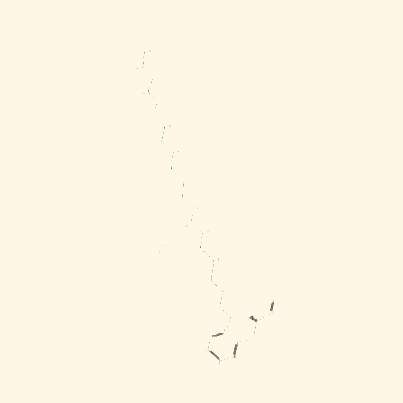 C=CC(=O)Oc1c(C)ccc[n+]1CCCCCCCCCCCCCCCCCCCCCC.[Br-]